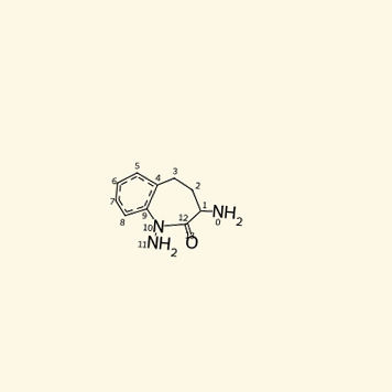 NC1CCc2ccccc2N(N)C1=O